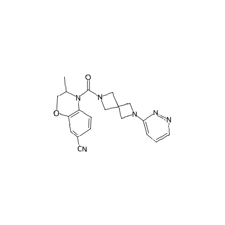 CC1COc2cc(C#N)ccc2N1C(=O)N1CC2(C1)CN(c1cccnn1)C2